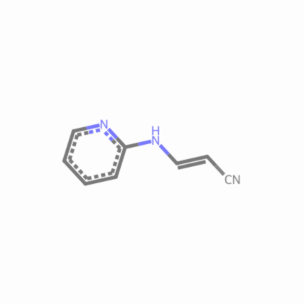 N#C/C=C/Nc1ccccn1